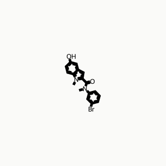 CN(C(=O)c1cc2cc(O)ccc2n1C)c1cccc(Br)c1